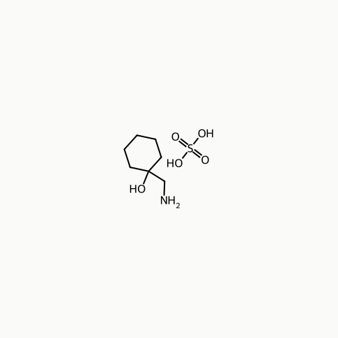 NCC1(O)CCCCC1.O=S(=O)(O)O